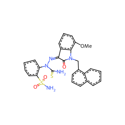 COc1cccc2c1N(Cc1cccc3ccccc13)C(=O)/C2=N\N(C(N)=S)c1ccccc1S(N)(=O)=O